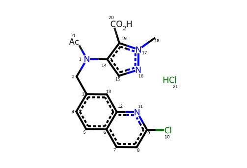 CC(=O)N(Cc1ccc2ccc(Cl)nc2c1)c1cnn(C)c1C(=O)O.Cl